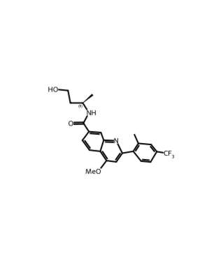 COc1cc(-c2ccc(C(F)(F)F)cc2C)nc2cc(C(=O)N[C@H](C)CCO)ccc12